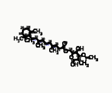 CCO[C@@H]1C(C)C(O)OC(COC(=O)C/C=C(C)/C=C/C=C(C)/C=C/C2=C(C)CCCC2(C)C)[C@H]1O